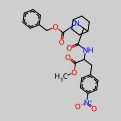 COC(=O)C(Cc1ccc([N+](=O)[O-])cc1)NC(=O)C1C2CCC(CC2)N1C(=O)OCc1ccccc1